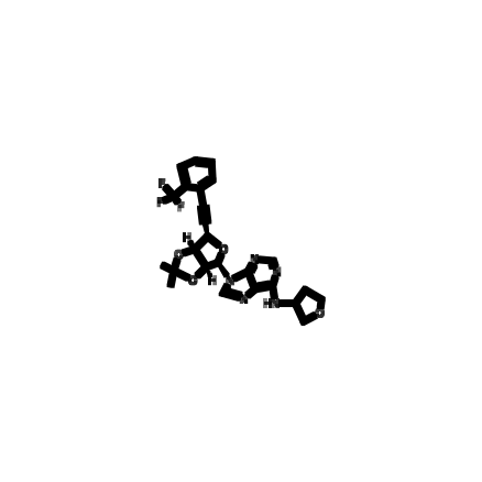 CC1(C)O[C@H]2[C@H](O1)[C@@H](C#Cc1ccccc1C(F)(F)F)O[C@H]2n1cnc2c(NC3CCOC3)ncnc21